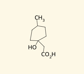 CC1CCC(O)(CC(=O)O)CC1